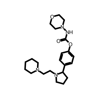 O=C(NN1CCOCC1)Oc1ccc(C2CCCN2CCN2CCCCC2)cc1